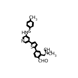 Cc1ccc(SNc2cncc(-c3ccc(-c4ccc(C=O)c(CN(C)C)c4)s3)c2)cc1